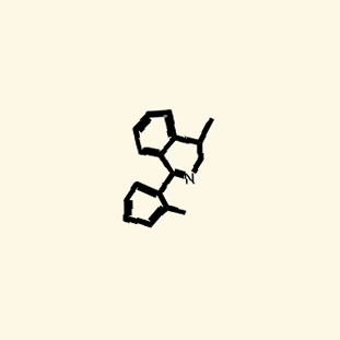 Cc1ccccc1C1=NCC(C)c2ccccc21